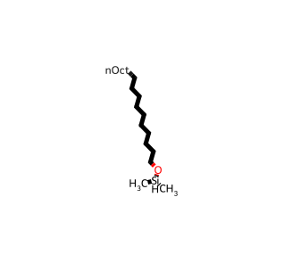 CCCCCCCCCCCCCCCCCCO[SiH](C)C